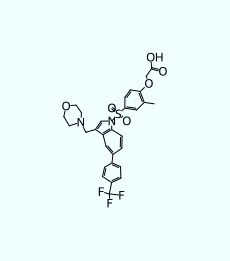 Cc1cc(S(=O)(=O)n2cc(CN3CCOCC3)c3cc(-c4ccc(C(F)(F)F)cc4)ccc32)ccc1OCC(=O)O